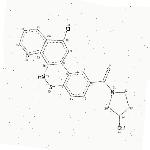 O=C(c1ccc2c(c1)-c1cc(Cl)c3cccnc3c1NS2)N1CCC(O)C1